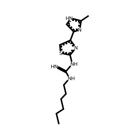 CCCCCCNC(=N)Nc1nc(-c2c[nH]c(C)n2)cs1